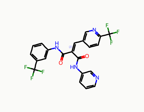 O=C(Nc1cccnc1)/C(=C\c1ccc(C(F)(F)F)nc1)C(=O)Nc1cccc(C(F)(F)F)c1